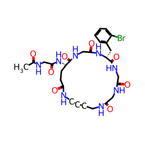 CC(=O)NCC(=O)N[C@H]1CCC(=O)NCCCCNC(=O)CNC(=O)CNC(=O)[C@@H](Cc2ccccc2Br)NC(=O)CNC1=O